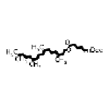 CCCCCCCCCCCCCCC(=O)OCC=C(C)CCC=C(C)CCC=C(C)CCC=C(C)C